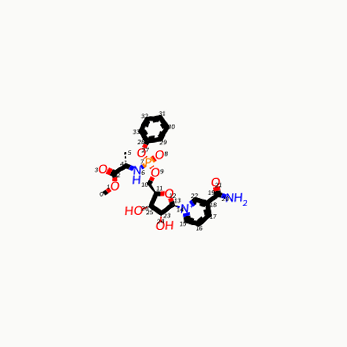 COC(=O)[C@H](C)NP(=O)(OC[C@H]1O[C@H]([n+]2cccc(C(N)=O)c2)[C@H](O)[C@@H]1O)Oc1ccccc1